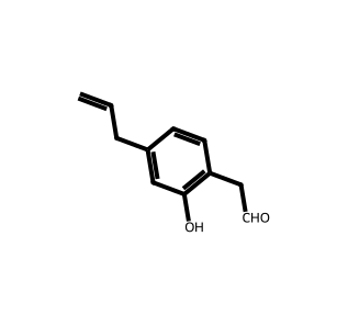 C=CCc1ccc(CC=O)c(O)c1